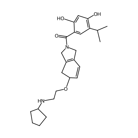 CC(C)c1cc(C(=O)N2CC3=C(CC(OCCNC4CCCC4)C=C3)C2)c(O)cc1O